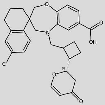 O=C1C=CO[C@H](C2CCC2CN2CC3(CCCc4cc(Cl)ccc43)COc3ccc(C(=O)O)cc32)C1